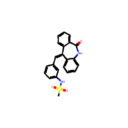 CS(=O)(=O)Nc1cccc(/C=C2\c3ccccc3NC(=O)c3ccccc32)c1